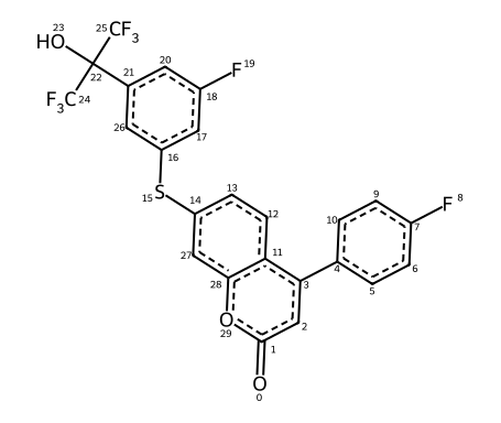 O=c1cc(-c2ccc(F)cc2)c2ccc(Sc3cc(F)cc(C(O)(C(F)(F)F)C(F)(F)F)c3)cc2o1